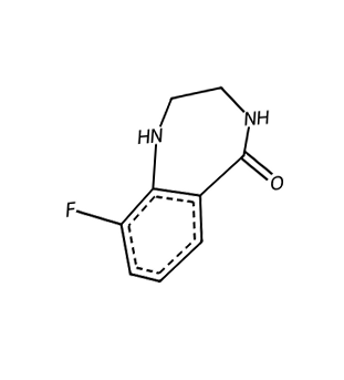 O=C1NCCNc2c(F)cccc21